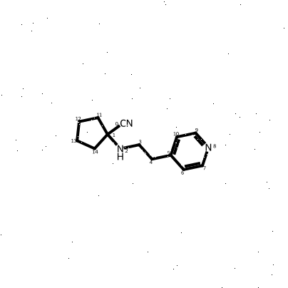 N#CC1(NCCc2ccncc2)CCCC1